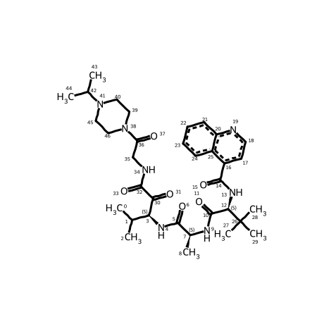 CC(C)[C@H](NC(=O)[C@H](C)NC(=O)[C@@H](NC(=O)c1ccnc2ccccc12)C(C)(C)C)C(=O)C(=O)NCC(=O)N1CCN(C(C)C)CC1